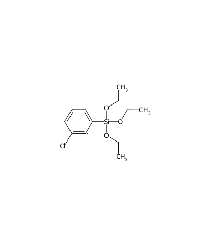 CCO[Si](OCC)(OCC)c1[c]c(Cl)ccc1